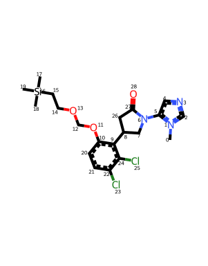 Cn1cncc1N1CC(c2c(OCOCC[Si](C)(C)C)ccc(Cl)c2Cl)CC1=O